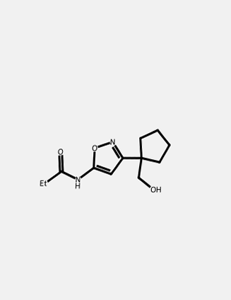 CCC(=O)Nc1cc(C2(CO)CCCC2)no1